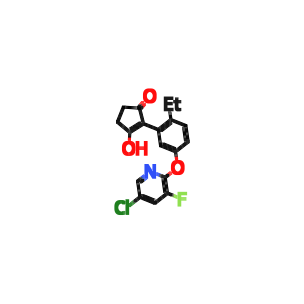 CCc1ccc(Oc2ncc(Cl)cc2F)cc1C1=C(O)CCC1=O